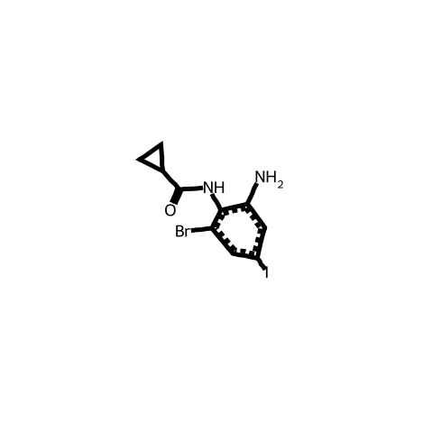 Nc1cc(I)cc(Br)c1NC(=O)C1CC1